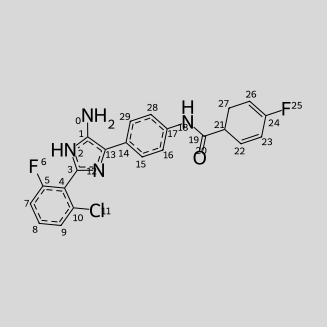 Nc1[nH]c(-c2c(F)cccc2Cl)nc1-c1ccc(NC(=O)C2C=CC(F)=CC2)cc1